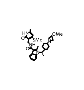 COC1CN(C2CCC([C@@H](C)n3c(C)c(C(=O)NCc4c(SC)cc(C)[nH]c4=O)c4ccccc43)CC2)C1